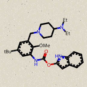 CCN(CC)C1CCN(Cc2cc(C(C)(C)C)cc(NC(=O)Oc3cc4ccccc4[nH]3)c2OC)CC1